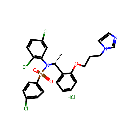 C[C@H](c1ccccc1OCCCn1ccnc1)N(c1cc(Cl)ccc1Cl)S(=O)(=O)c1ccc(Cl)cc1.Cl